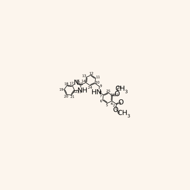 COC(=O)c1ccc(NCc2cccc(-c3nc4ccccc4[nH]3)c2)cc1OC